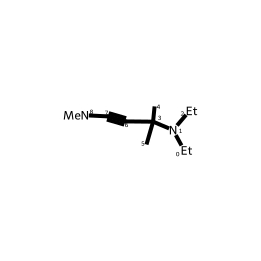 CCN(CC)C(C)(C)C#CNC